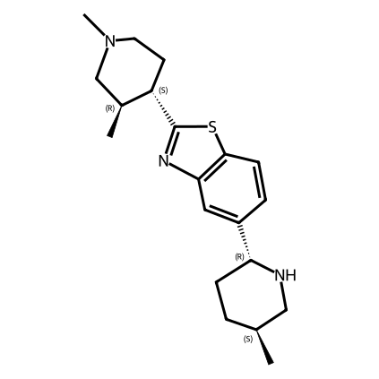 C[C@H]1CC[C@H](c2ccc3sc([C@H]4CCN(C)C[C@@H]4C)nc3c2)NC1